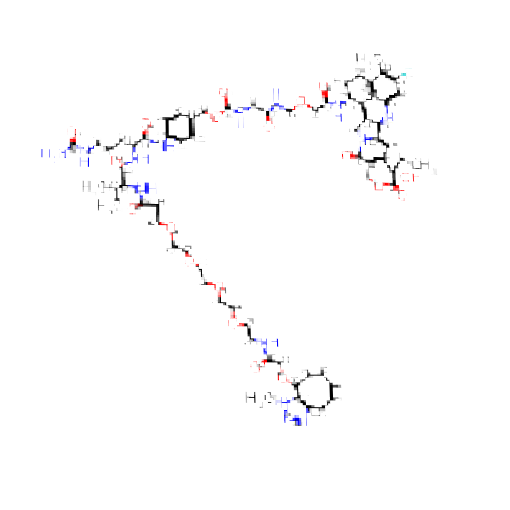 CC[C@@]1(O)C(=O)OCc2c1cc1n(c2=O)Cc2c-1nc1cc(F)c(C)c3c1c2[C@@H](NC(=O)COCNC(=O)CNC(=O)OCc1ccc(NC(=O)[C@H](CCCNC(N)=O)NC(=O)[C@@H](NC(=O)CCOCCOCCOCCOCCNC(=O)COC2CCCCCc4nnn(C)c42)C(C)C)cc1)CC3